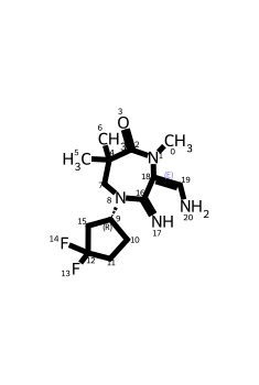 CN1C(=O)C(C)(C)CN([C@@H]2CCC(F)(F)C2)C(=N)/C1=C\N